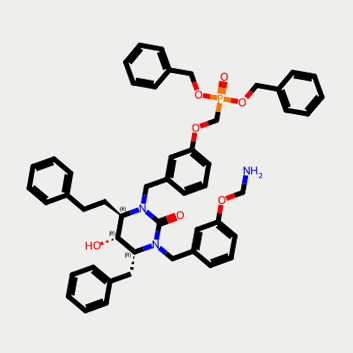 NCOc1cccc(CN2C(=O)N(Cc3cccc(OCP(=O)(OCc4ccccc4)OCc4ccccc4)c3)[C@H](CCc3ccccc3)[C@@H](O)[C@H]2Cc2ccccc2)c1